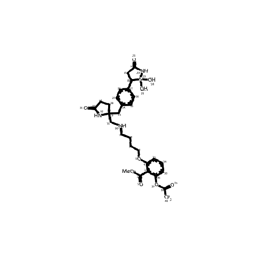 COC(=O)c1c(OCCCCNCC2(Cc3ccc(C4CC(=O)NS4(O)O)cc3)CCC(=O)N2)cccc1OC(=O)C(F)(F)F